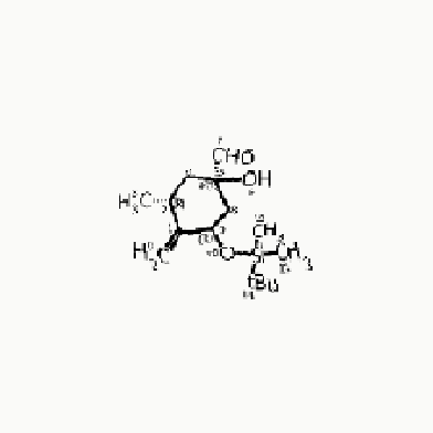 C=C1[C@H](C)C[C@](O)(C=O)C[C@H]1O[Si](C)(C)C(C)(C)C